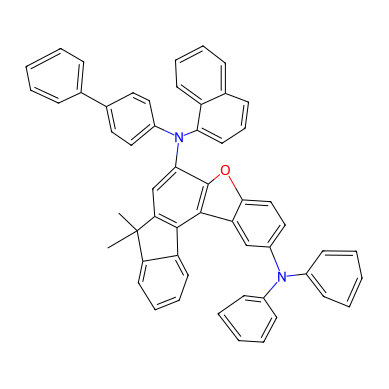 CC1(C)c2ccccc2-c2c1cc(N(c1ccc(-c3ccccc3)cc1)c1cccc3ccccc13)c1oc3ccc(N(c4ccccc4)c4ccccc4)cc3c21